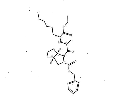 CCCCCCC(N[C@@H](C)C(=O)N1[C@H](C(=O)OCc2ccccc2)C[C@@H]2CCC[C@@H]21)C(=O)OCC